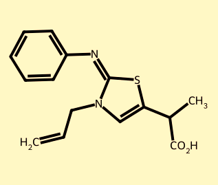 C=CCn1cc(C(C)C(=O)O)sc1=Nc1ccccc1